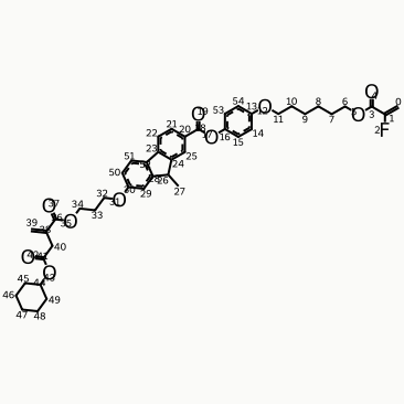 C=C(F)C(=O)OCCCCCCOc1ccc(OC(=O)c2ccc3c(c2)C(C)c2cc(OCCCOC(=O)C(=C)CC(=O)OC4CCCCC4)ccc2-3)cc1